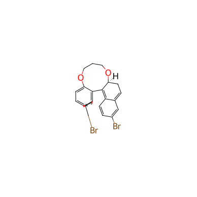 Brc1ccc2c(c1)=CC[C@@H]1OCCCOc3ccc4cc(Br)ccc4c3C=21